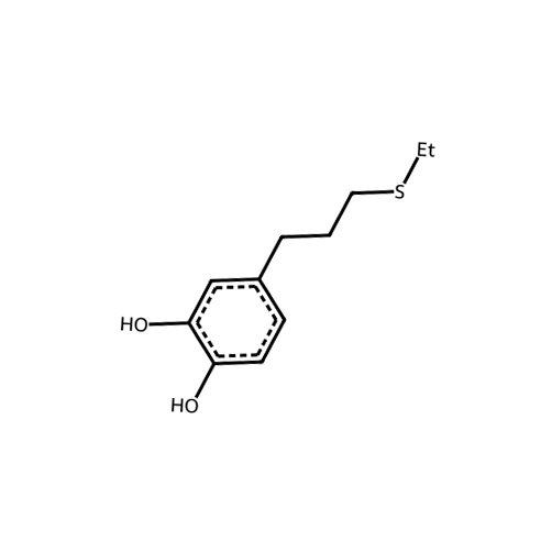 CCSCCCc1ccc(O)c(O)c1